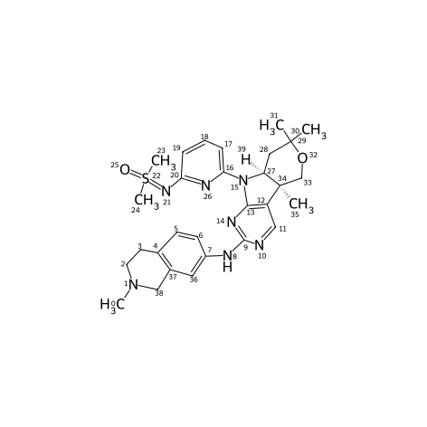 CN1CCc2ccc(Nc3ncc4c(n3)N(c3cccc(N=S(C)(C)=O)n3)[C@H]3CC(C)(C)OC[C@@]43C)cc2C1